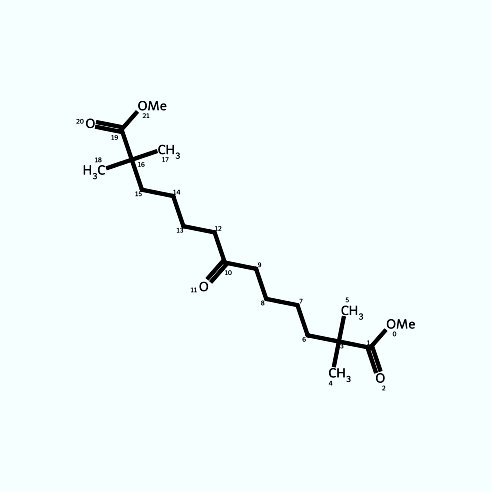 COC(=O)C(C)(C)CCCCC(=O)CCCCC(C)(C)C(=O)OC